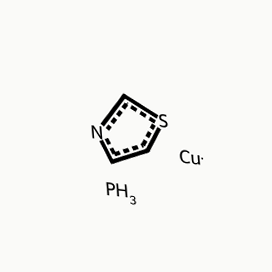 P.[Cu].c1cscn1